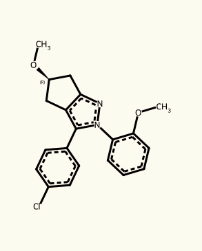 COc1ccccc1-n1nc2c(c1-c1ccc(Cl)cc1)C[C@@H](OC)C2